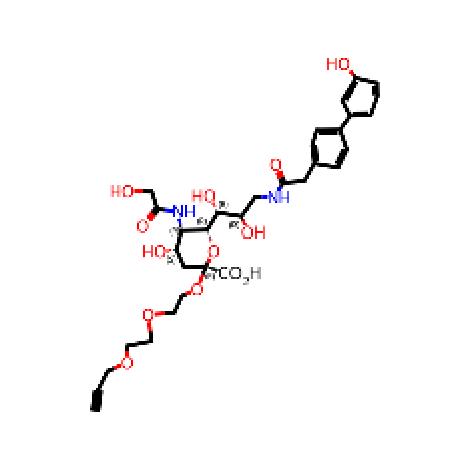 C#CCOCCOCCO[C@]1(C(=O)O)C[C@H](O)[C@@H](NC(=O)CO)[C@H]([C@H](O)[C@H](O)CNC(=O)Cc2ccc(-c3cccc(O)c3)cc2)O1